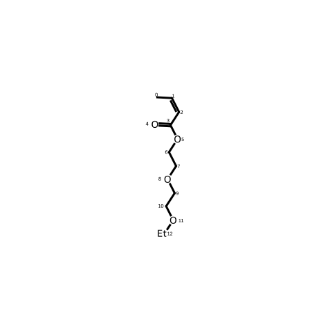 C/C=C\C(=O)OCCOCCOCC